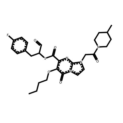 CCCCOc1c(C(=O)SC(C=O)Cc2ccc(F)cc2)nc2n(CC(=O)N3CCC(C)CC3)ccn2c1=O